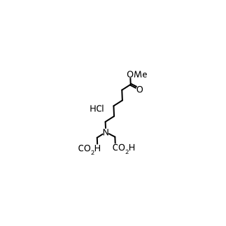 COC(=O)CCCCCN(CC(=O)O)CC(=O)O.Cl